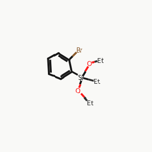 CCO[Si](CC)(OCC)c1ccccc1Br